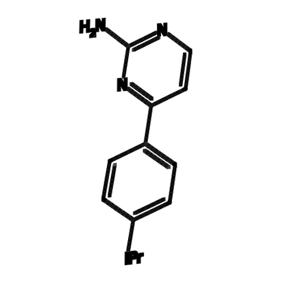 CC(C)c1ccc(-c2ccnc(N)n2)cc1